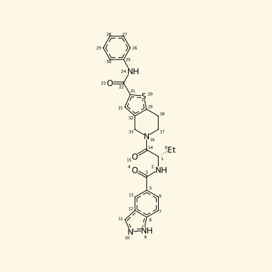 CC[C@H](NC(=O)c1ccc2[nH]ncc2c1)C(=O)N1CCc2sc(C(=O)Nc3ccccc3)cc2C1